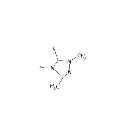 CC1=NN(C)C(I)N1I